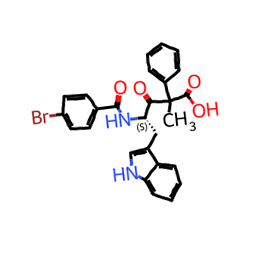 CC(C(=O)O)(C(=O)[C@H](Cc1c[nH]c2ccccc12)NC(=O)c1ccc(Br)cc1)c1ccccc1